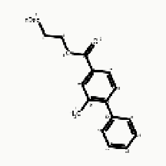 CCCCCCCCCCCCOC(=O)c1ccc(-c2ccccc2)c(C)c1